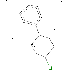 ClC1CCC(c2cc[c]cc2)CC1